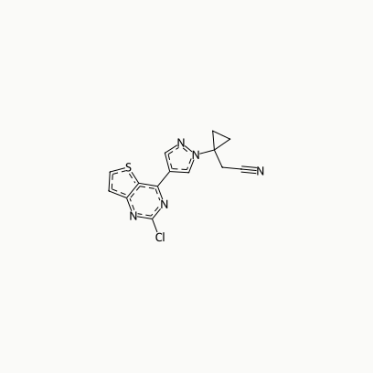 N#CCC1(n2cc(-c3nc(Cl)nc4ccsc34)cn2)CC1